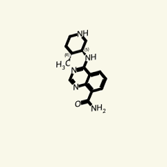 C[C@@H]1CCNC[C@H]1Nc1ncnc2c(C(N)=O)cccc12